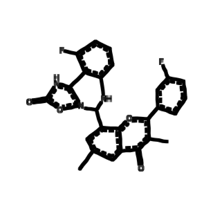 Cc1cc(C(C)Nc2cccc(F)c2-c2noc(=O)[nH]2)c2oc(-c3cccc(F)c3)c(C)c(=O)c2c1